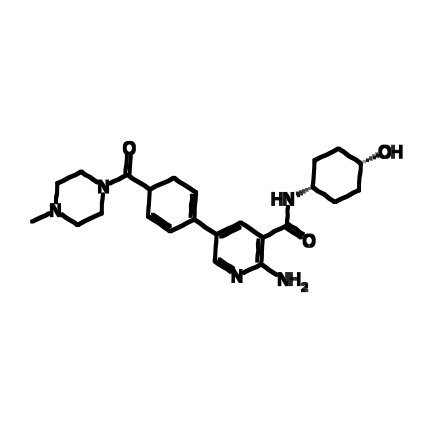 CN1CCN(C(=O)C2C=CC(c3cnc(N)c(C(=O)N[C@H]4CC[C@@H](O)CC4)c3)=CC2)CC1